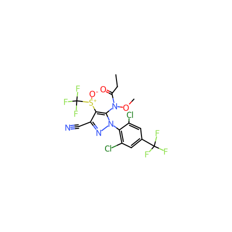 CCC(=O)N(OC)c1c([S+]([O-])C(F)(F)F)c(C#N)nn1-c1c(Cl)cc(C(F)(F)F)cc1Cl